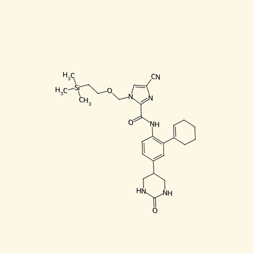 C[Si](C)(C)CCOCn1cc(C#N)nc1C(=O)Nc1ccc(C2CNC(=O)NC2)cc1C1=CCCCC1